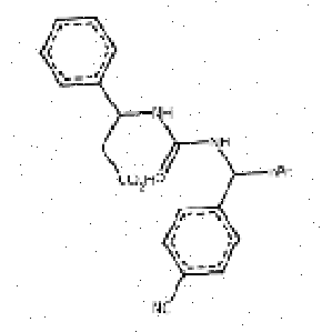 CCCC(NC(=O)NC(CC(=O)O)c1ccccc1)c1ccc(C#N)cc1